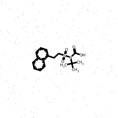 CC(C)(C)N(C(=O)O)S(=O)(=O)CCc1cccc2ccccc12